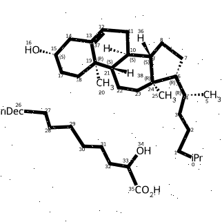 CC(C)CCC[C@@H](C)[C@H]1CC[C@H]2[C@@H]3CC=C4C[C@@H](O)CC[C@]4(C)[C@H]3CC[C@]12C.CCCCCCCCCCCCCCCCC(O)C(=O)O